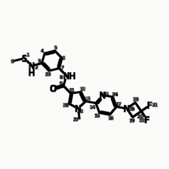 CSNc1cccc(NC(=O)c2cc(-c3ccc(N4CC(F)(F)C4)cn3)n(C)c2)c1